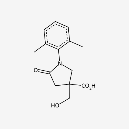 Cc1cccc(C)c1N1CC(CO)(C(=O)O)CC1=O